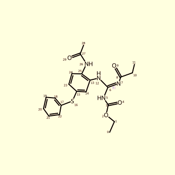 CCOC(=O)N/C(=N/C(=O)CC)Nc1cc(Sc2ccccc2)ccc1NC(C)=O